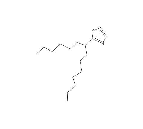 CCCCCCCC(CCCCCC)c1nccs1